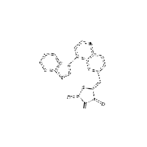 O=C1NC(=O)C(=Cc2ccc3nccc(-c4csc5ccccc45)c3c2)S1